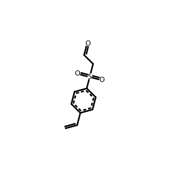 C=Cc1ccc(S(=O)(=O)CC=O)cc1